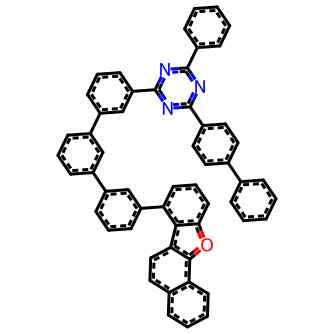 c1ccc(-c2ccc(-c3nc(-c4ccccc4)nc(-c4cccc(-c5cccc(-c6cccc(-c7cccc8oc9c%10ccccc%10ccc9c78)c6)c5)c4)n3)cc2)cc1